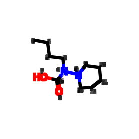 CCCCN(C(=O)O)N1CCCCC1